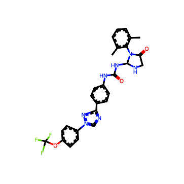 Cc1cccc(C)c1N1C(=O)CNC1NC(=O)Nc1ccc(-c2ncn(-c3ccc(OC(F)(F)F)cc3)n2)cc1